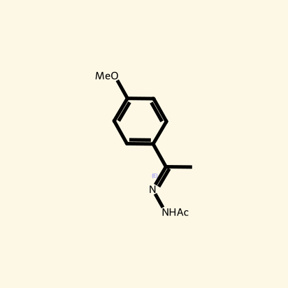 COc1ccc(/C(C)=N/NC(C)=O)cc1